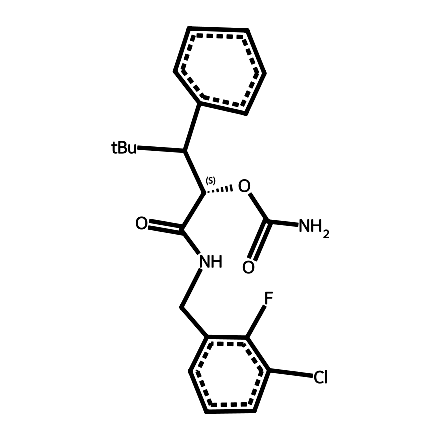 CC(C)(C)C(c1ccccc1)[C@H](OC(N)=O)C(=O)NCc1cccc(Cl)c1F